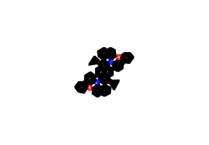 c1ccc2c(N(c3cc(C4CC4)c4ccc5c(N(c6cccc7ccccc67)c6cccc7c6oc6ccccc67)cc(C6CC6)c6ccc3c4c65)c3cccc4c3oc3ccccc34)cccc2c1